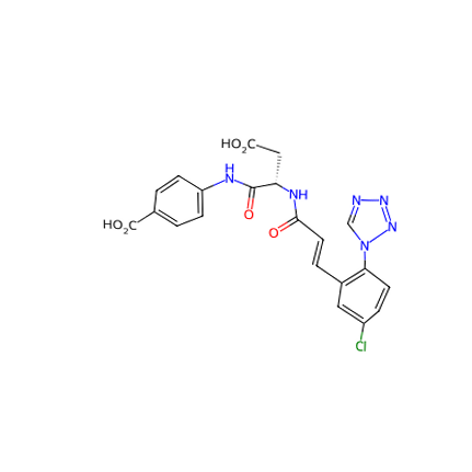 O=C(O)C[C@H](NC(=O)C=Cc1cc(Cl)ccc1-n1cnnn1)C(=O)Nc1ccc(C(=O)O)cc1